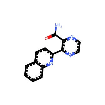 NC(=O)c1nccnc1-c1ccc2ccccc2n1